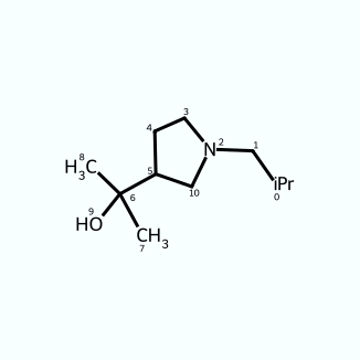 CC(C)CN1CCC(C(C)(C)O)C1